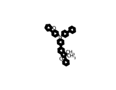 CC1(C)c2cc(-c3ccc(N(c4ccc(-c5ccccc5)cc4)c4ccc5c(c4)oc4ccccc45)cc3)ccc2-c2oc3ccccc3c21